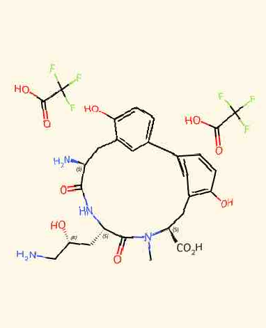 CN1C(=O)[C@H](C[C@@H](O)CN)NC(=O)[C@@H](N)Cc2cc(ccc2O)-c2ccc(O)c(c2)C[C@H]1C(=O)O.O=C(O)C(F)(F)F.O=C(O)C(F)(F)F